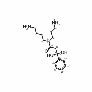 NCCCCN(CCCN)C(=O)CC(O)(O)c1ccccc1